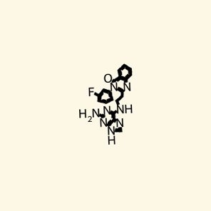 Nc1nc(NCCc2nc3ccccc3c(=O)n2-c2cccc(F)c2)c2nc[nH]c2n1